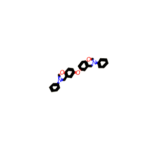 c1ccc(N2COc3ccc(Oc4ccc5c(c4)CN(c4ccccc4)CO5)cc3C2)cc1